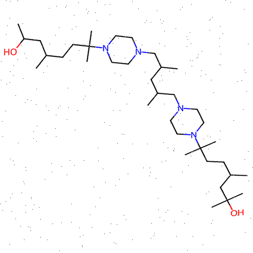 CC(O)CC(C)CCC(C)(C)N1CCN(CC(C)CC(C)CN2CCN(C(C)(C)CCC(C)CC(C)(C)O)CC2)CC1